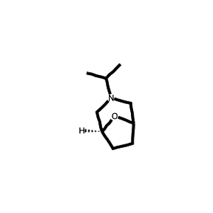 CC(C)N1CC2CC[C@@H](C1)O2